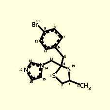 CC1CSC(Cc2ccc(Br)cc2)(Cn2ccnc2)S1